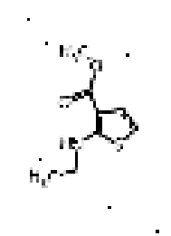 CCNc1sccc1C(=O)OC